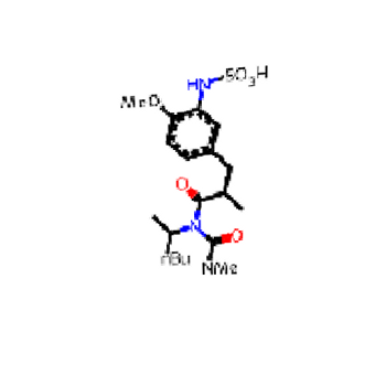 CCCCC(C)N(C(=O)NC)C(=O)C(C)Cc1ccc(OC)c(NS(=O)(=O)O)c1